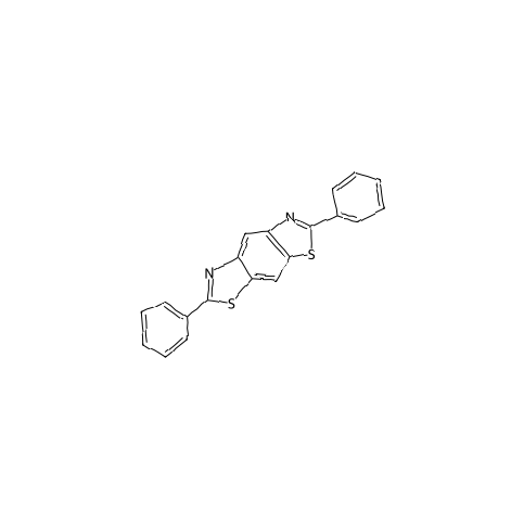 c1ccc(-c2nc3cc4nc(-c5ccccc5)sc4cc3s2)cc1